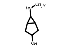 O=C(O)NC1C2CC(O)CC21